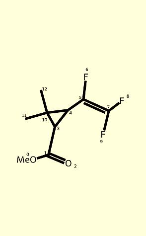 COC(=O)C1C(C(F)=C(F)F)C1(C)C